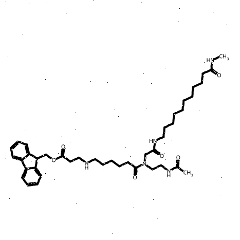 CNC(=O)CCCCCCCCCCNC(=O)CN(CCNC(C)=O)C(=O)CCCCCNCCC(=O)OCC1c2ccccc2-c2ccccc21